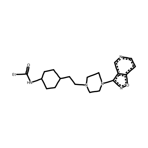 CCC(=O)NC1CCC(CCN2CCN(c3noc4ccncc34)CC2)CC1